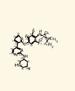 CN(C)S(=O)(=O)Nc1c(F)cc(Oc2ncccc2-c2ccnc(NC3CNC[C@@H](F)C3)n2)c(F)c1F